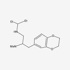 CCC(CC)NCC(Cc1ccc2c(c1)OCCO2)NC